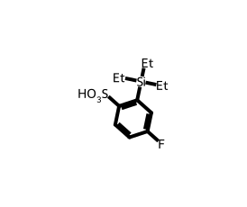 CC[Si](CC)(CC)c1cc(F)ccc1S(=O)(=O)O